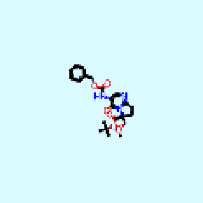 COCC1(C(=O)OC(C)(C)C)CCc2ncc(NC(=O)OCc3ccccc3)c(=O)n21